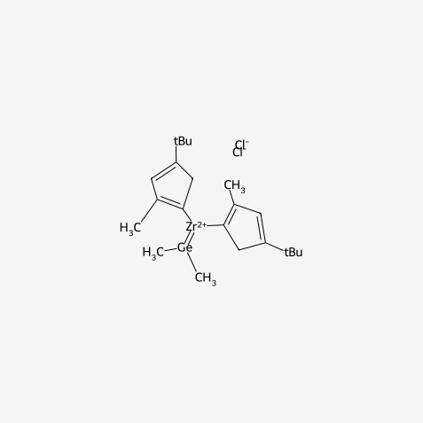 CC1=[C]([Zr+2]([C]2=C(C)C=C(C(C)(C)C)C2)=[Ge]([CH3])[CH3])CC(C(C)(C)C)=C1.[Cl-].[Cl-]